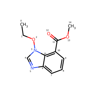 CCOn1cnc2cccc(C(=O)OC)c21